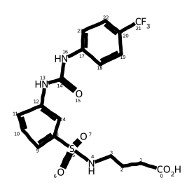 O=C(O)CCCNS(=O)(=O)c1cccc(NC(=O)Nc2ccc(C(F)(F)F)cc2)c1